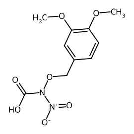 COc1ccc(CON(C(=O)O)[N+](=O)[O-])cc1OC